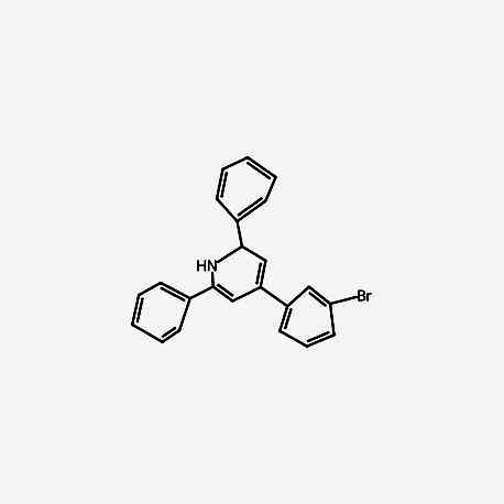 Brc1cccc(C2=CC(c3ccccc3)NC(c3ccccc3)=C2)c1